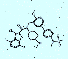 CN[C@H]1CC[C@@H](N(Cc2cc(-c3ccc(N(C)S(C)(=O)=O)cc3)ccc2OC)C(=O)c2sc3c(F)ccc(F)c3c2Cl)CC1